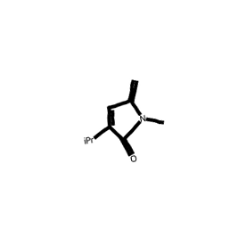 C=C1C=C(C(C)C)C(=O)N1C